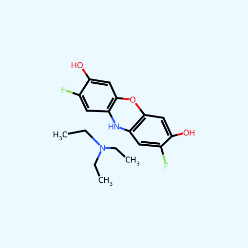 CCN(CC)CC.Oc1cc2c(cc1F)Nc1cc(F)c(O)cc1O2